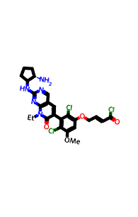 CCn1c(=O)c(-c2c(Cl)c(OC)cc(OCC=CC(=O)Cl)c2Cl)cc2cnc(NC3CCC[C@@H]3N)nc21